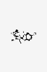 C=C1/C(=C2\Sc3ccc(Cl)cc3N2C)S/C(=C\c2nccs2)N1CC